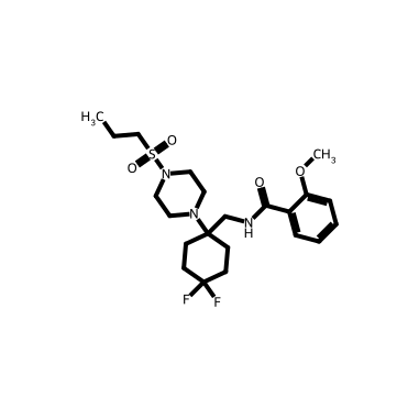 CCCS(=O)(=O)N1CCN(C2(CNC(=O)c3ccccc3OC)CCC(F)(F)CC2)CC1